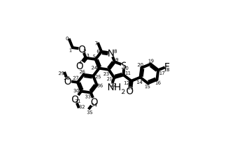 CCOC(=O)c1c(C)nc2sc(C(=O)c3ccc(F)cc3)c(N)c2c1-c1cc(OC)c(OC)c(OC)c1